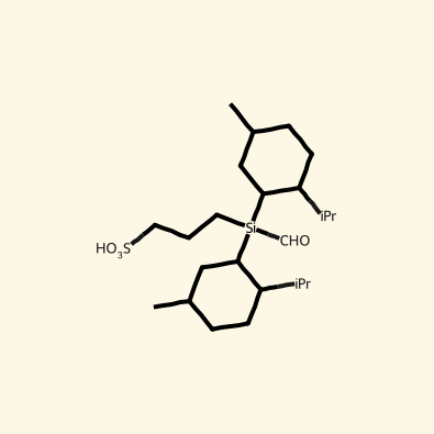 CC1CCC(C(C)C)C([Si](C=O)(CCCS(=O)(=O)O)C2CC(C)CCC2C(C)C)C1